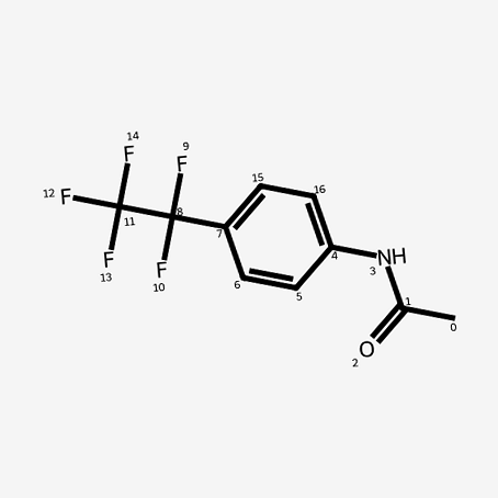 CC(=O)Nc1ccc(C(F)(F)C(F)(F)F)cc1